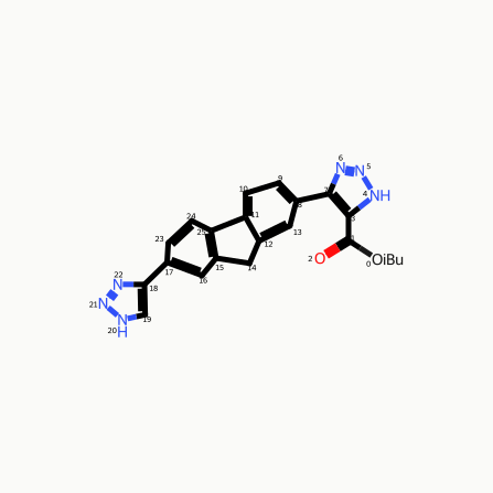 CC(C)COC(=O)c1[nH]nnc1-c1ccc2c(c1)Cc1cc(-c3c[nH]nn3)ccc1-2